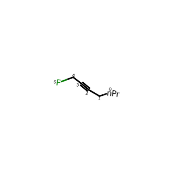 [CH2]CCCC#CCF